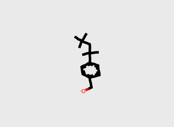 CC(C)(C)CC(C)(C)c1ccc(C[O])cc1